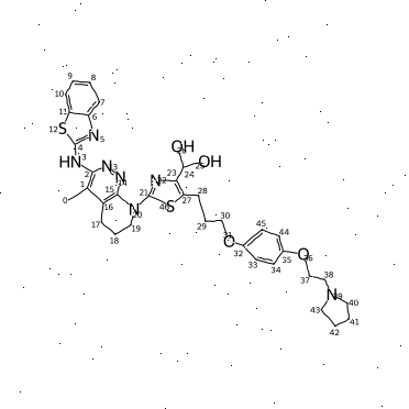 Cc1c(Nc2nc3ccccc3s2)nnc2c1CCCN2c1nc(C(O)O)c(CCCOc2ccc(OCCN3CCCC3)cc2)s1